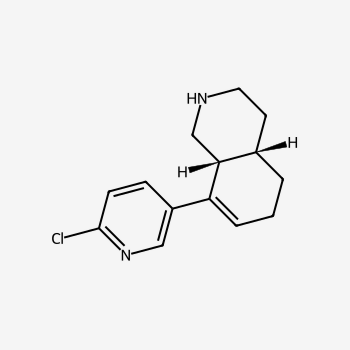 Clc1ccc(C2=CCC[C@H]3CCNC[C@@H]23)cn1